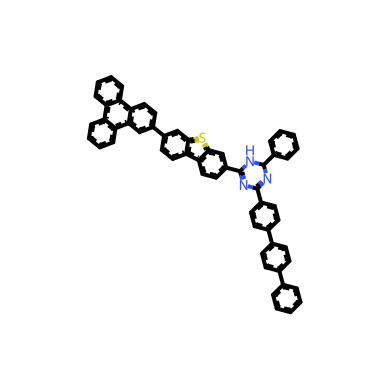 c1ccc(-c2ccc(-c3ccc(C4=NC(c5ccccc5)NC(c5ccc6c(c5)sc5cc(-c7ccc8c9ccccc9c9ccccc9c8c7)ccc56)=N4)cc3)cc2)cc1